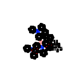 CC(C)(C)c1cc2c3c(c1)C(c1ccccc1)(c1ccccc1)c1cc(N(c4ccccc4)c4ccccc4)ccc1B3c1ccc(N(c3ccccc3)c3ccccc3)cc1N2c1c(-c2ccccc2)cccc1-c1ccccc1